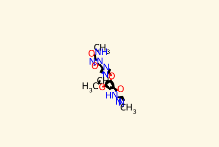 CNC(=O)c1noc(-c2cnc(Oc3cc(OC(C)C)cc(C(=O)Nc4ccn(C)n4)c3)cn2)n1